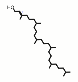 C/C(=C\CO)CCCC(C)CCCC(C)CCCC(C)CCCC(C)CCCC(C)C